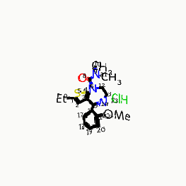 CCc1cc2c(s1)N(C(=O)N(C)C)CCN=C2c1ccccc1OC.Cl